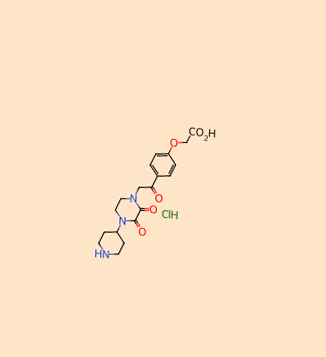 Cl.O=C(O)COc1ccc(C(=O)CN2CCN(C3CCNCC3)C(=O)C2=O)cc1